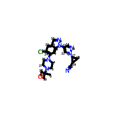 CC1(N2CCN(c3cc4c(cnn4-c4cnn(C5CC5C#N)c4)cc3Cl)CC2)COC1